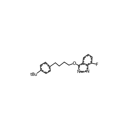 CC(C)(C)c1ccc(CCCCOc2ncnc3c(F)cccc23)cc1